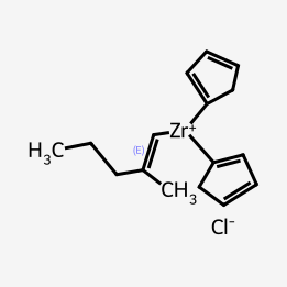 CCC/C(C)=[CH]/[Zr+]([C]1=CC=CC1)[C]1=CC=CC1.[Cl-]